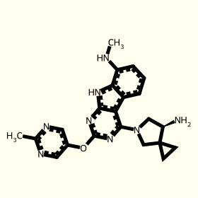 CNc1cccc2c1[nH]c1nc(Oc3cnc(C)nc3)nc(N3C[C@@H](N)C4(CC4)C3)c12